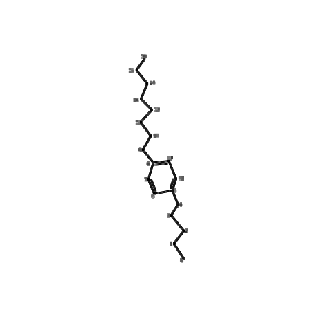 CCCC[CH]c1ccc(CCCCCCCC)cc1